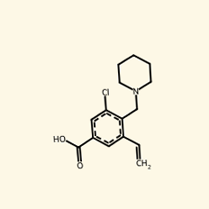 C=Cc1cc(C(=O)O)cc(Cl)c1CN1CCCCC1